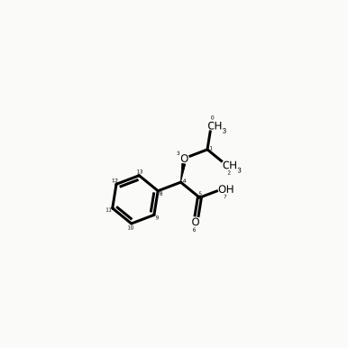 CC(C)O[C@@H](C(=O)O)c1ccccc1